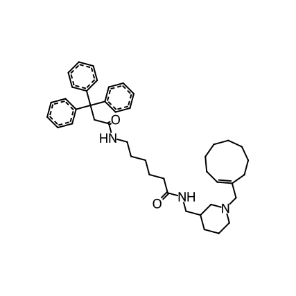 O=C(CCCCCNC(=O)CC(c1ccccc1)(c1ccccc1)c1ccccc1)NCC1CCCN(CC2=CCCCCCCC2)C1